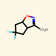 CCOC(=O)C1=NOC2CC(F)(F)CC12